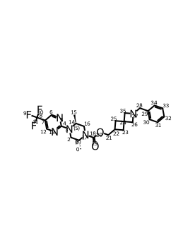 C[C@@H]1CN(c2ncc(C(F)(F)F)cn2)[C@@H](C)CN1C(=O)OCC1CC2(C1)CN(Cc1ccccc1)C2